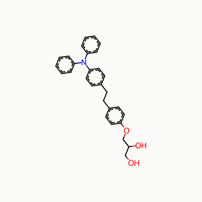 OCC(O)COc1ccc(CCc2ccc(N(c3ccccc3)c3ccccc3)cc2)cc1